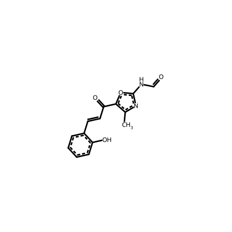 Cc1nc(NC=O)oc1C(=O)C=Cc1ccccc1O